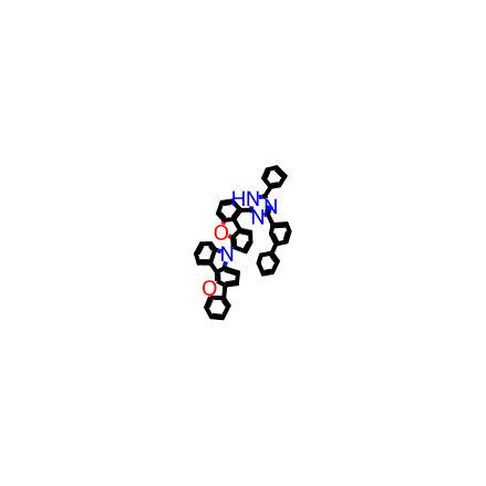 C1=CCCC(c2cccc(C3=NC(c4ccccc4)NC(c4cccc5oc6c(-n7c8ccccc8c8c9oc%10ccccc%10c9ccc87)cccc6c45)=N3)c2)=C1